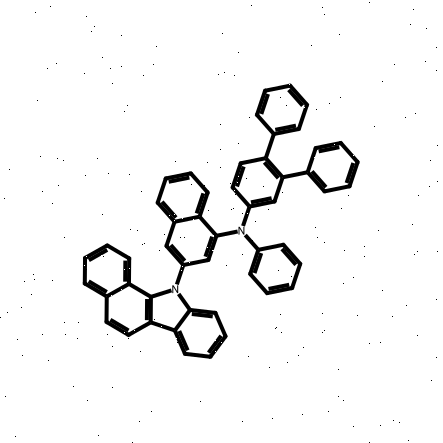 c1ccc(-c2ccc(N(c3ccccc3)c3cc(-n4c5ccccc5c5ccc6ccccc6c54)cc4ccccc34)cc2-c2ccccc2)cc1